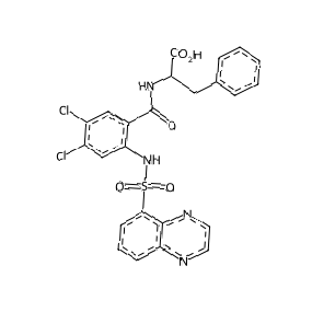 O=C(NC(Cc1ccccc1)C(=O)O)c1cc(Cl)c(Cl)cc1NS(=O)(=O)c1cccc2nccnc12